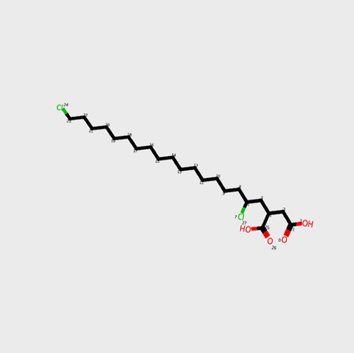 O=C(O)CC(CC(Cl)CCCCCCCCCCCCCCCCCl)C(=O)O